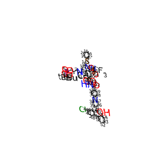 CN(CCOP(=O)(OC(C)(C)C)OC(C)(C)C)CC[C@H](CSc1ccccc1)Nc1ccc(S(=O)(=O)NC(=O)c2ccc(N3CCC(C(O)c4cc(Cl)ccc4-c4ccccc4)CC3)cc2)cc1S(=O)(=O)C(F)(F)F